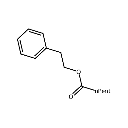 CCCCCC(=O)OCCc1ccccc1